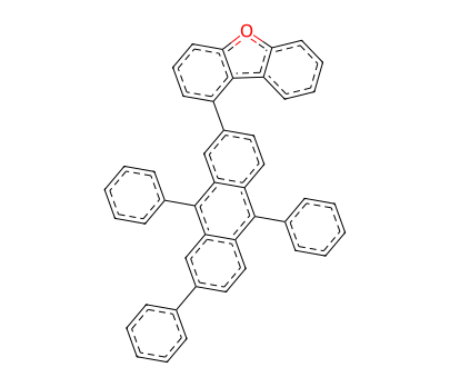 c1ccc(-c2ccc3c(-c4ccccc4)c4ccc(-c5cccc6oc7ccccc7c56)cc4c(-c4ccccc4)c3c2)cc1